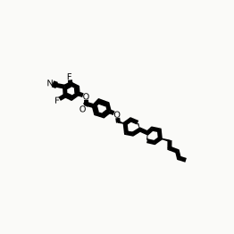 CCCCC[C@H]1CC[C@H]([C@H]2CC[C@H](COc3ccc(C(=O)Oc4cc(F)c(C#N)c(F)c4)cc3)CC2)CC1